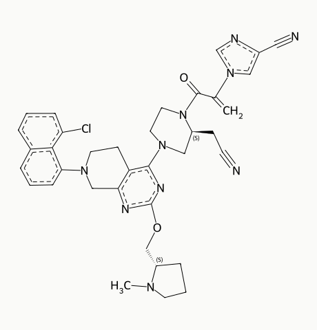 C=C(C(=O)N1CCN(c2nc(OC[C@@H]3CCCN3C)nc3c2CCN(c2cccc4cccc(Cl)c24)C3)C[C@@H]1CC#N)n1cnc(C#N)c1